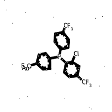 FC(F)(F)c1ccc(P(c2ccc(C(F)(F)F)cc2)c2ccc(C(F)(F)F)cc2Cl)cc1.[Au+]